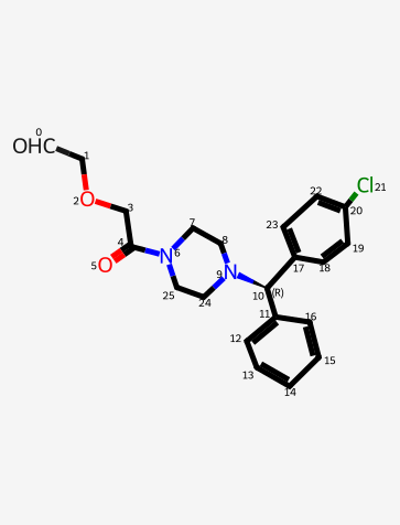 O=CCOCC(=O)N1CCN([C@H](c2ccccc2)c2ccc(Cl)cc2)CC1